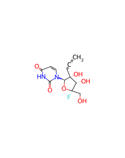 C=C=C[C@]1(O)[C@H](n2ccc(=O)[nH]c2=O)O[C@](F)(CO)[C@H]1O